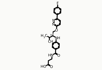 CC(C)[C@@H](COc1ccc(-c2ccc(F)cc2)nn1)Nc1ccc(C(=O)NCCC(=O)O)cc1